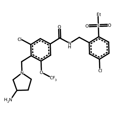 CCS(=O)(=O)c1ccc(Cl)cc1CNC(=O)c1cc(Cl)c(CN2CCC(N)C2)c(OC(F)(F)F)c1